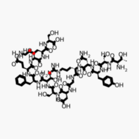 C[C@@H](O)[C@H](N)C(=O)N[C@@H](CO)C(=O)N[C@@H](Cc1ccc(O)cc1)C(=O)N[C@@H](CC(N)=O)C(=O)N[C@@H](CCCNC(=N)N)C(=O)NCC(=O)N[C@@H](CC(=O)O)C(=O)N[C@@H](CO)C(=O)N[C@H](C(=O)N[C@@H](Cc1ccccc1)C(=O)N[C@@H](CCC(=O)O)C(=O)N[C@@H](CO)C(=O)N[C@@H](CCCCN)C(=O)N[C@@H](CO)C(=O)O)[C@@H](C)O